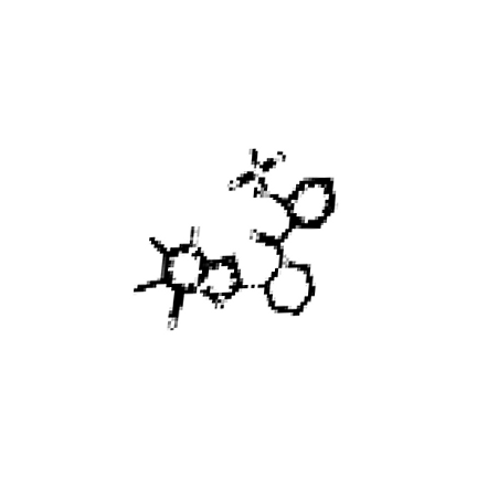 Cc1[nH]c2cc([C@H]3CCCCN3C(=O)c3ccccc3NS(C)(=O)=O)nn2c(=O)c1C